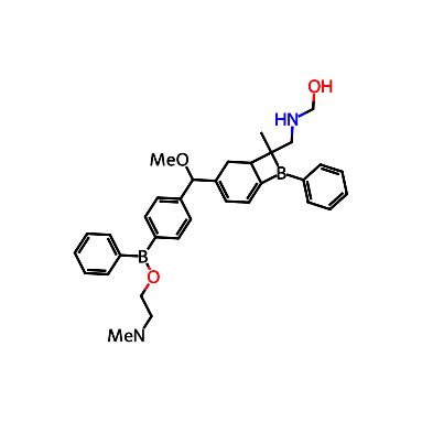 CNCCOB(c1ccccc1)c1ccc(C(OC)C2=CC=C3B(c4ccccc4)C(C)(CNCO)C3C2)cc1